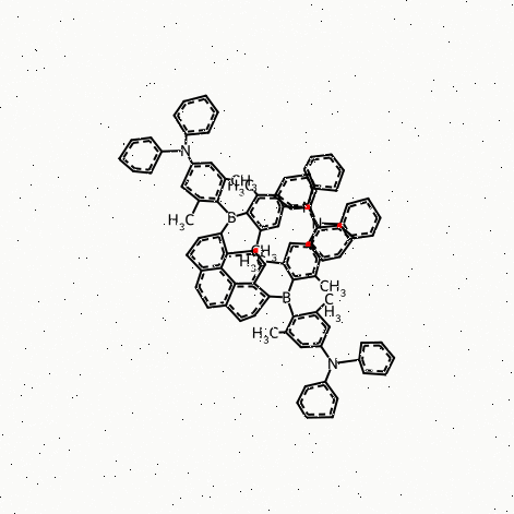 Cc1cc(N(c2ccccc2)c2ccccc2)cc(C)c1B(c1c(C)cc(N(c2ccccc2)c2ccccc2)cc1C)c1ccc2ccc3ccc(B(c4c(C)cc(N(c5ccccc5)c5ccccc5)cc4C)c4c(C)cc(N(c5ccccc5)c5ccccc5)cc4C)c4ccc1c2c34